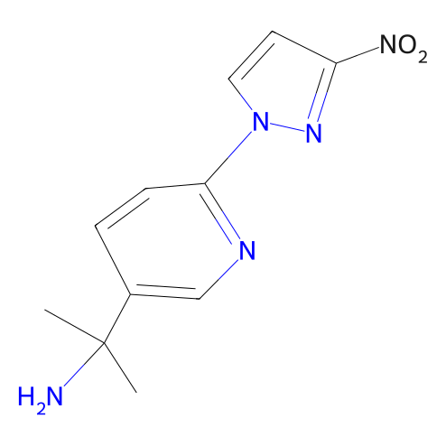 CC(C)(N)c1ccc(-n2ccc([N+](=O)[O-])n2)nc1